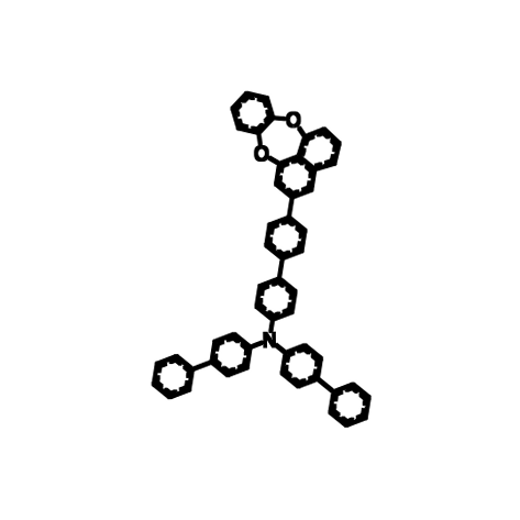 c1ccc(-c2ccc(N(c3ccc(-c4ccccc4)cc3)c3ccc(-c4ccc(-c5cc6c7c(cccc7c5)Oc5ccccc5O6)cc4)cc3)cc2)cc1